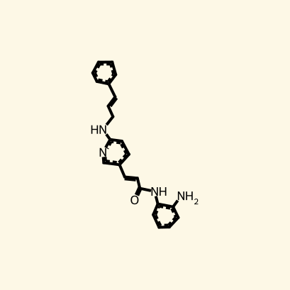 Nc1ccccc1NC(=O)/C=C/c1ccc(NC/C=C/c2ccccc2)nc1